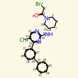 O=C(CBr)N1CCC[C@H](Nc2ncc(Cl)c(-c3cccc(-c4ccccc4)c3)n2)C1